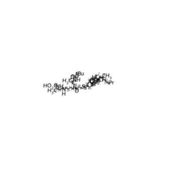 CC(C)CCC[C@@H](C)[C@H]1CC[C@H]2[C@@H]3CC=C4C[C@@H](SSCCC(=O)N(CCCCNCCC(C)NC(=O)O)CCC(C)NC(=O)OC(C)(C)C)CC[C@]4(C)[C@H]3CC[C@]12C